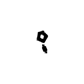 N#N.c1cocn1